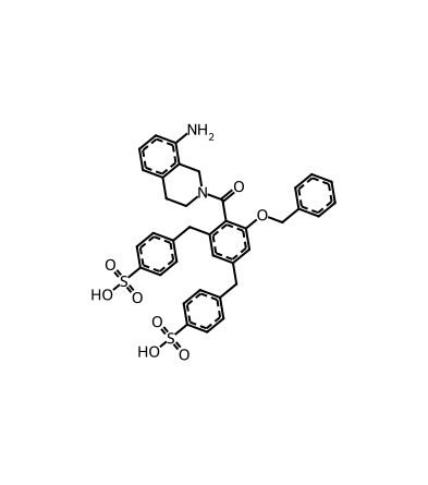 Nc1cccc2c1CN(C(=O)c1c(Cc3ccc(S(=O)(=O)O)cc3)cc(Cc3ccc(S(=O)(=O)O)cc3)cc1OCc1ccccc1)CC2